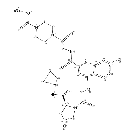 CCCCOC(=O)N1CCN(C(=O)CNC(=O)c2cc(OCC(=O)N3C[C@H](C#N)C[C@H]3C(=O)NC3CCC3)c3ccc(Cl)cc3n2)CC1